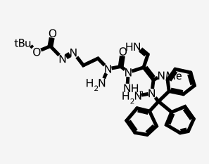 CN/C(=C(\C=N)N(N)C(=O)N(N)CCN=NC(=O)OC(C)(C)C)N(N)C(c1ccccc1)(c1ccccc1)c1ccccc1